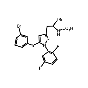 CC(C)(C)C(Cc1cc(Sc2cccc(Br)c2)n(-c2cc(F)ccc2F)n1)NC(=O)O